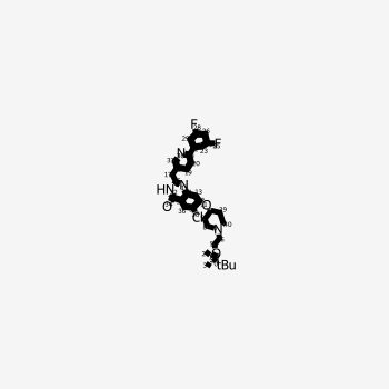 CC(C)(C)[Si](C)(C)OCCN1CCC(Oc2cc3nc(Cc4ccc(-c5cc(F)cc(F)c5)nc4)[nH]c(=O)c3cc2Cl)CC1